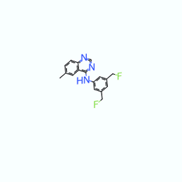 Cc1ccc2ncnc(Nc3cc(CF)cc(CF)c3)c2c1